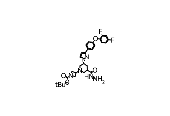 CC(C)(C)OC(=O)N1CC(N2CC(C(=O)NN)CC(n3ccc(-c4ccc(Oc5ccc(F)cc5F)cc4)n3)C2)C1